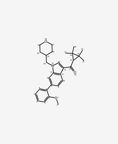 COc1ccccc1-c1ccc2c(C(=O)C3C(C)(C)C3(C)C)cn(CC3CCOCC3)c2c1